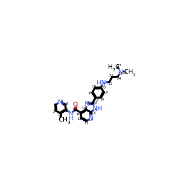 Cc1ccncc1NC(=O)c1ccnc2[nH]c(-c3ccc(NCCCN(C)C)cc3)nc12